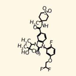 CC(n1c(=O)n(-c2cc(OCC(F)F)ccc2F)c2ccc(C(=O)NC3(C)CCS(=O)(=O)CC3)cc21)C(C)(C)O